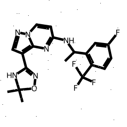 CC(Nc1ccn2ncc(C3=NOC(C)(C)N3)c2n1)c1cc(F)ccc1C(F)(F)F